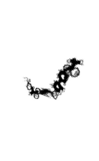 C=C(C)C(=O)Oc1ccc(-c2ccc(OCCOC(=O)C(=C)COC)cc2C)cc1